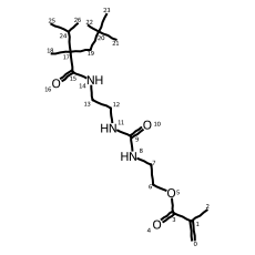 C=C(C)C(=O)OCCNC(=O)NCCNC(=O)C(C)(CC(C)(C)C)C(C)C